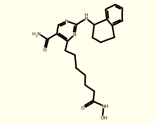 NC(=O)c1cnc(NC2CCCc3ccccc32)nc1CCCCCCC(=O)NO